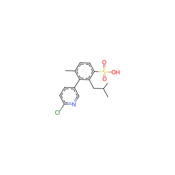 Cc1ccc(S(=O)(=O)O)c(CC(C)C)c1-c1ccc(Cl)nc1